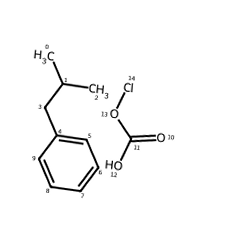 CC(C)Cc1ccccc1.O=C(O)OCl